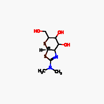 CN(C)C1=NC2C(O)C(O)C(CO)S[C@@H]2S1